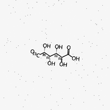 O=[13CH][C@H](O)[C@@H](O)[C@H](O)[C@H](O)C(=O)O